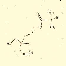 CC(C)(Br)C(=O)OCCC[Si](CO)(CO)CO